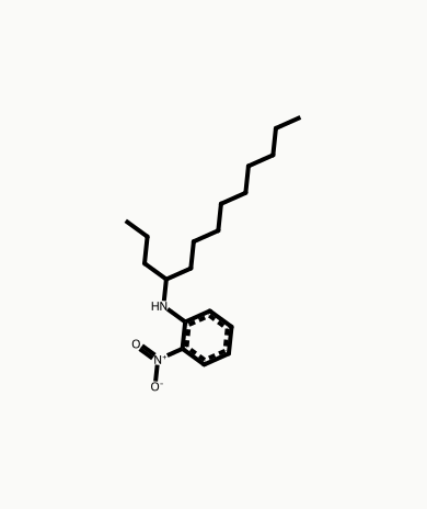 CCCCCCCCCC(CCC)Nc1ccccc1[N+](=O)[O-]